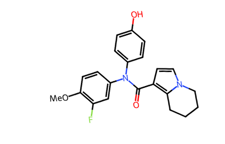 COc1ccc(N(C(=O)c2ccn3c2CCCC3)c2ccc(O)cc2)cc1F